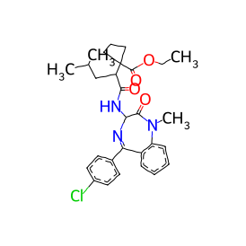 CCOC(=O)C1(C(CC(C)C)C(=O)NC2N=C(c3ccc(Cl)cc3)c3ccccc3N(C)C2=O)CCC1